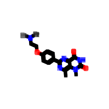 CCN(CC)CCOc1ccc(-c2nc(C)c3c(n2)c(=O)[nH]c(=O)n3C)cc1